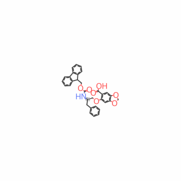 O=C(N[C@@H](COc1cc2c(cc1C(=O)O)OCO2)Cc1ccccc1)OCC1c2ccccc2-c2ccccc21